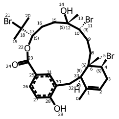 CC1=CC[C@H](Br)[C@@]2(C)CC[C@@H](Br)[C@@](C)(O)CC[C@@H](C(C)(C)Br)OC(=O)c3ccc(O)c(c3)C[C@H]12